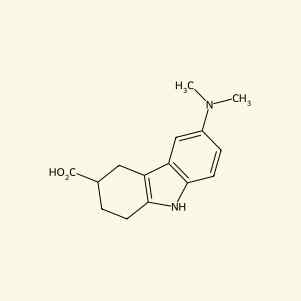 CN(C)c1ccc2[nH]c3c(c2c1)CC(C(=O)O)CC3